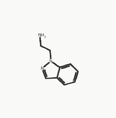 NCCn1ncc2ccccc21